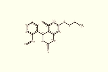 CCCSc1nc2c(c(=O)[nH]1)C(c1ccccc1N=O)CC(=O)N2